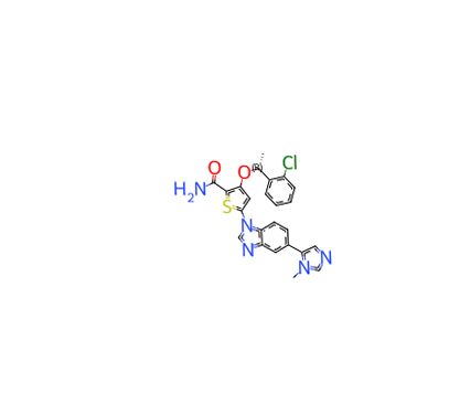 C[C@@H](Oc1cc(-n2cnc3cc(-c4cncn4C)ccc32)sc1C(N)=O)c1ccccc1Cl